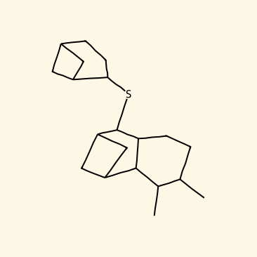 CC1CCC2C(SC3CCC4CC3C4)C3CC(C3)C2C1C